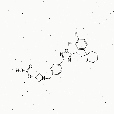 O=C(O)OC1CN(Cc2ccc(-c3noc(CCC4(c5ccc(F)c(F)c5)CCCCC4)n3)cc2)C1